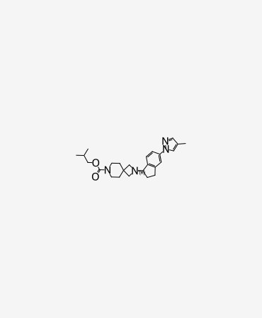 Cc1cnn(-c2ccc3c(c2)CC[C@H]3N2CC3(CCN(C(=O)OCC(C)C)CC3)C2)c1